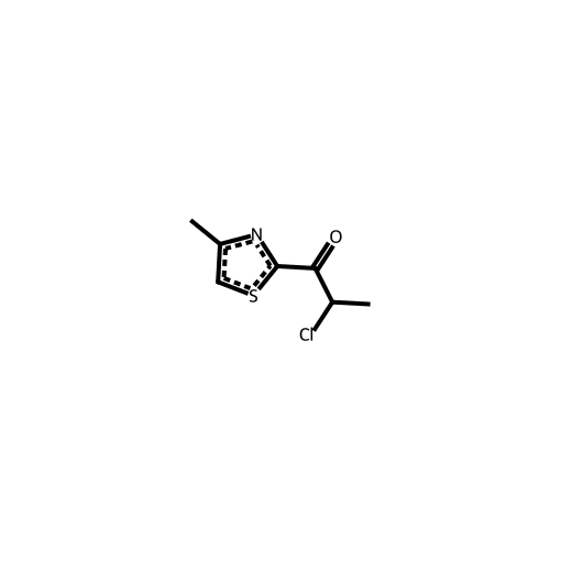 Cc1csc(C(=O)C(C)Cl)n1